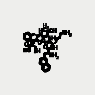 C[C@@H](O)[C@H](NC(=O)[C@H](CCCCN)NC(=O)[C@@H](N)Cc1ccc2ccccc2c1)C(=O)N[C@@H](Cc1ccccc1)C(=O)N[C@@H](CS)C(=O)O